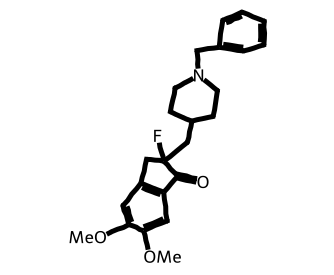 COc1cc2c(cc1OC)C(=O)C(F)(CC1CCN(Cc3ccccc3)CC1)C2